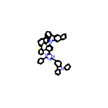 c1ccc(-c2nc(-c3ccc4c(c3)c3ccccc3n4-c3ccccc3)nc(-c3ccc(-n4c5ccccc5c5cc6ccccc6cc54)cc3-c3cccc4sc5ccc6ccccc6c5c34)n2)cc1